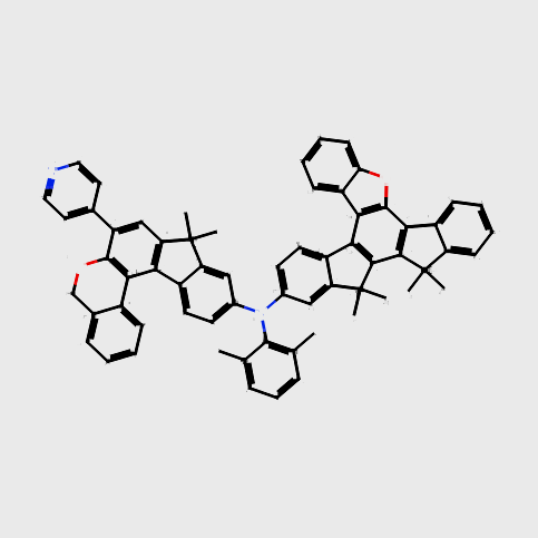 Cc1cccc(C)c1N(c1ccc2c(c1)C(C)(C)c1cc(-c3ccncc3)c3c(c1-2)-c1ccccc1CO3)c1ccc2c(c1)C(C)(C)c1c3c(c4oc5ccccc5c4c1-2)-c1ccccc1C3(C)C